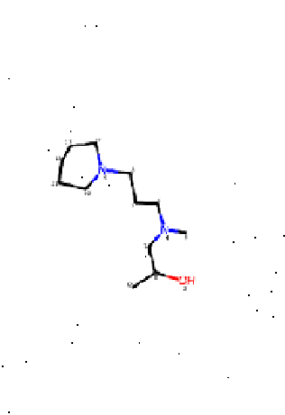 CC(O)CN(C)CCCN1CCCCC1